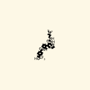 Cc1c(NC(=O)c2ccc(C(C)(O)C(F)(F)F)cc2)cccc1-c1cc(NC(=O)NCCCN(C)C)c2nccn2c1